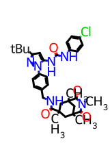 CN1C(=O)C2(C)CC(C)(C(=O)NCc3ccc(-n4nc(C(C)(C)C)cc4NC(=O)Nc4ccc(Cl)cc4)cc3)CC(C)(C2)C1=O